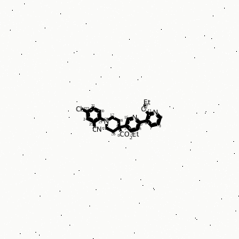 CCOC(=O)C1(c2ccc(-c3cccnc3OCC)nc2)CCN(c2ccc(Cl)cc2C#N)CC1